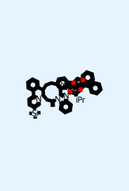 C=C1CC2C(CCc3ccc4c(oc5cc(-c6ccccc6)ccc54)c3-c3n(-c4c(C(C)C)cc(-c5ccccc5)cc4C(C)C)c4ccccc4[n+]31)c1ccccc1-c1ccc([Si](C)(C)C)c[n+]12